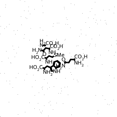 CSCCC(N)C(=O)O.NC(=O)CC(N)C(=O)O.NC(=O)CCC(N)C(=O)O.NC(Cc1c[nH]c2ccccc12)C(=O)O.NCC(=O)O